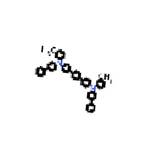 Cc1cccc(N(c2ccc(-c3ccccc3)cc2)c2ccc(-c3ccc(-c4ccc(N(c5ccc(C6C=CC=CC6)cc5)c5cccc(C)c5)cc4)cc3)cc2)c1